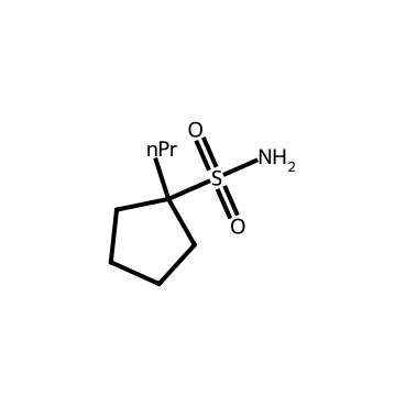 CCCC1(S(N)(=O)=O)CCCC1